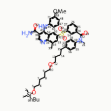 CCCC[Si](C)(C)OCCCCCCOCCCCc1ccc(N(C)C(=O)c2cccc(S(=O)(=O)c3cc(C)c4ncc(C(N)=O)c(Nc5cccc(OC)c5)c4c3)c2)cc1